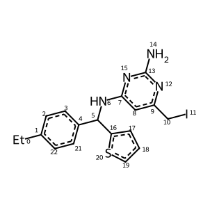 CCc1ccc(C(Nc2cc(CI)nc(N)n2)c2cccs2)cc1